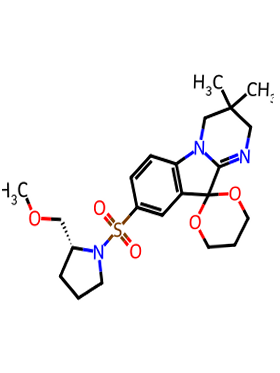 COC[C@H]1CCCN1S(=O)(=O)c1ccc2c(c1)C1(OCCCO1)C1=NCC(C)(C)CN12